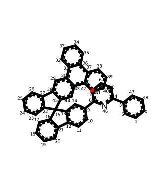 c1ccc(-c2cccc(-c3ccc4c(c3)C3(c5ccccc5-4)c4ccccc4-c4cc5c6ccccc6c6ccccc6c5cc43)n2)cc1